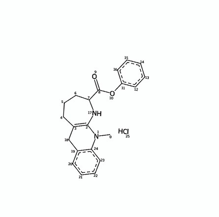 CN1C2=C(CCCC(C(=O)Oc3ccccc3)N2)Cc2ccccc21.Cl